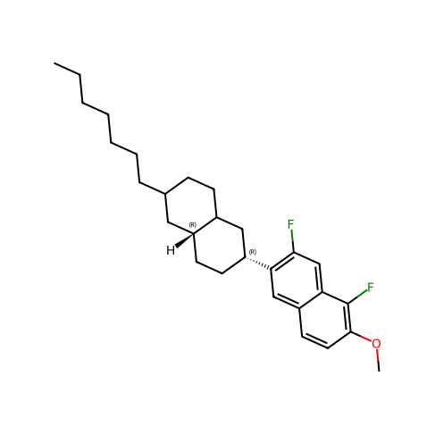 CCCCCCCC1CCC2C[C@H](c3cc4ccc(OC)c(F)c4cc3F)CC[C@@H]2C1